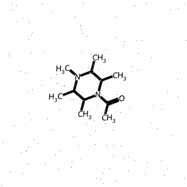 CC(=O)N1C(C)C(C)N(C)C(C)C1C